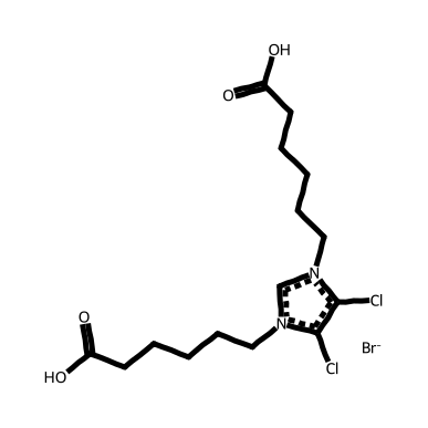 O=C(O)CCCCCn1c[n+](CCCCCC(=O)O)c(Cl)c1Cl.[Br-]